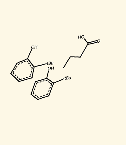 CC(C)(C)c1ccccc1O.CC(C)(C)c1ccccc1O.CCCC(=O)O